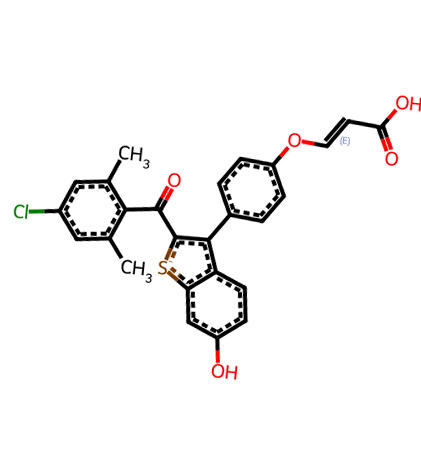 Cc1cc(Cl)cc(C)c1C(=O)c1sc2cc(O)ccc2c1-c1ccc(O/C=C/C(=O)O)cc1